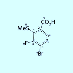 CSc1c(C(=O)O)ccc(Br)c1F